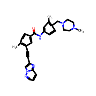 Cc1ccc(C(=O)Nc2ccc(CN3CCN(C)CC3)c(C(F)(F)F)c2)cc1C#Cc1cn2ncccc2n1